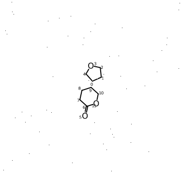 C1CCOC1.O=C1CCCCO1